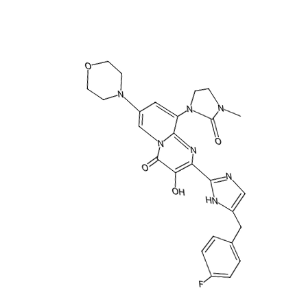 CN1CCN(c2cc(N3CCOCC3)cn3c(=O)c(O)c(-c4ncc(Cc5ccc(F)cc5)[nH]4)nc23)C1=O